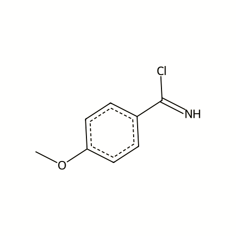 COc1ccc(C(=N)Cl)cc1